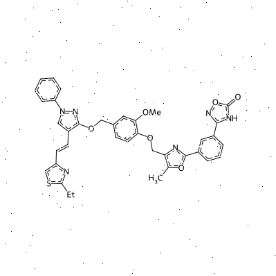 CCc1nc(C=Cc2cn(-c3ccccc3)nc2OCc2ccc(OCc3nc(-c4cccc(-c5noc(=O)[nH]5)c4)oc3C)c(OC)c2)cs1